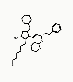 O=C(O)CCCC=CC[C@@H]1[C@H](C=C[C@H](CCc2ccccc2)OC2CCCCO2)[C@H](OC2CCCCO2)C[C@H]1O